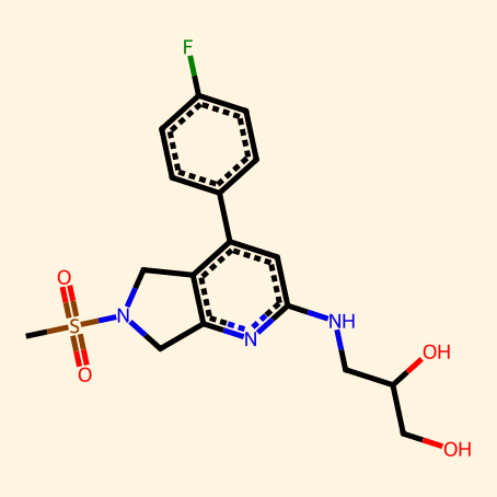 CS(=O)(=O)N1Cc2nc(NCC(O)CO)cc(-c3ccc(F)cc3)c2C1